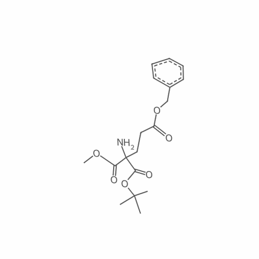 COC(=O)C(N)(CCC(=O)OCc1ccccc1)C(=O)OC(C)(C)C